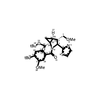 COC[C@@H]1C(c2nccs2)N(C(=O)c2ccc(C(C)(C)C)c(OC)c2)[C@@]2(C(=O)OC(C)(C)C)C[C@@H]12